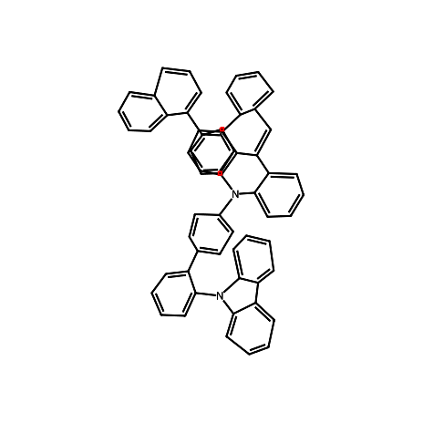 c1ccc(N(c2ccc(-c3ccccc3-n3c4ccccc4c4ccccc43)cc2)c2ccc(-c3cccc4ccccc34)cc2)c(-c2cc3ccccc3c3ccccc23)c1